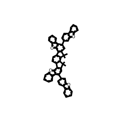 CC1(C)c2cc(-c3ccc4c(c3)oc3ccccc34)c3c(oc4ccccc43)c2-c2ccc3c(c21)C(C)(C)c1cc(-c2ccc4c(c2)oc2ccccc24)c2c(oc4ccccc42)c1-3